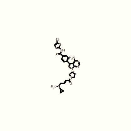 CCc1cnc(NC(=O)c2ccc(-c3nn([C@@H]4CCN(C(=O)C=CCN(C)C5CC5)C4)c4ncnc(N)c34)cc2)s1